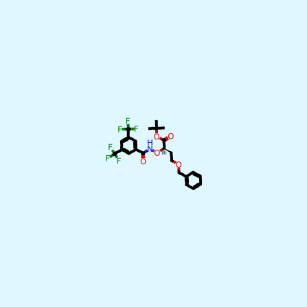 CC(C)(C)OC(=O)[C@@H](CCOCc1ccccc1)ONC(=O)c1cc(C(F)(F)F)cc(C(F)(F)F)c1